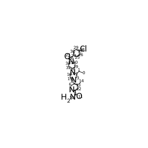 CC[C@H]1CN(c2cnc(C(N)=O)cc2C)CCN1C1CCN(C(=O)c2ccc(Cl)cc2)CC1